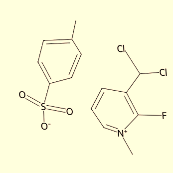 C[n+]1cccc(C(Cl)Cl)c1F.Cc1ccc(S(=O)(=O)[O-])cc1